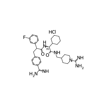 Cl.N=C(N)c1ccc(CC(C(=O)N[C@H](C(=O)NCC2CCN(C(=N)N)CC2)C2CCCCC2)c2cccc(F)c2)cc1